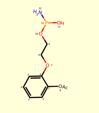 CC(=O)Oc1ccccc1OCCOP(N)O